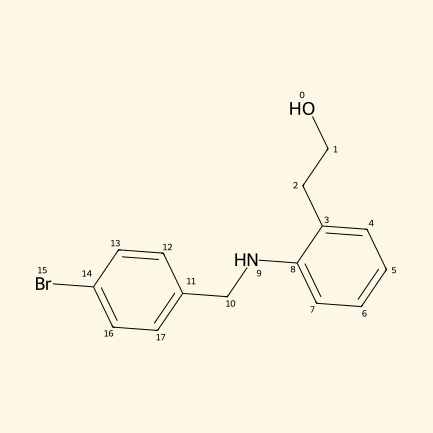 OCCc1ccccc1NCc1ccc(Br)cc1